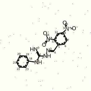 N=C(NN=Cc1ccc([N+](=O)[O-])cc1[N+](=O)[O-])Nc1ccccc1